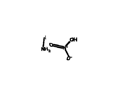 O=[N+]([O-])O.[C]N